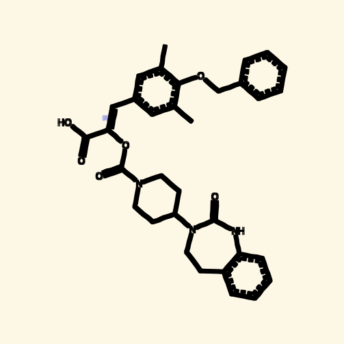 Cc1cc(/C=C(\OC(=O)N2CCC(N3CCc4ccccc4NC3=O)CC2)C(=O)O)cc(C)c1OCc1ccccc1